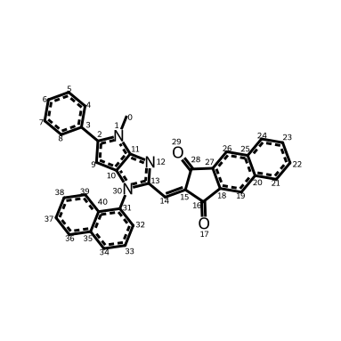 Cn1c(-c2ccccc2)cc2c1nc(C=C1C(=O)c3cc4ccccc4cc3C1=O)n2-c1cccc2ccccc12